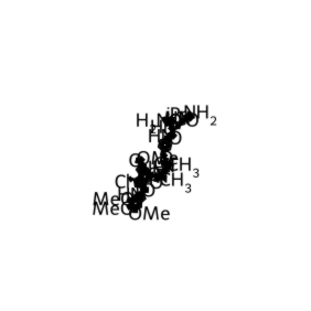 COC(=O)c1cc2c3c(cc(OC(=O)N(C)CCN(C)C(=O)OCc4ccc(NC(=O)[C@H](CCCNC(N)=O)NC(=O)[C@@H](N)C(C)C)cc4)c2[nH]1)N(C(=O)c1cc2cc(OC)c(OC)c(OC)c2[nH]1)C[C@H]3CCl